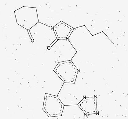 CCCCc1cn(C2CCCCC2=O)c(=O)n1Cc1ccc(-c2ccccc2-c2nnn[nH]2)cn1